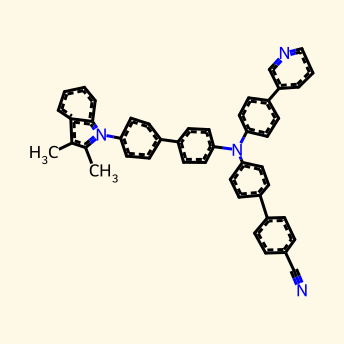 Cc1c(C)n(-c2ccc(-c3ccc(N(c4ccc(-c5ccc(C#N)cc5)cc4)c4ccc(-c5cccnc5)cc4)cc3)cc2)c2ccccc12